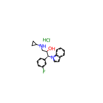 Cl.O[C@H](CNC1CC1)[C@H](c1cccc(F)c1)n1ccc2ccccc21